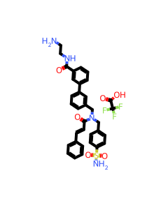 NCCNC(=O)c1cccc(-c2cccc(CN(Cc3ccc(S(N)(=O)=O)cc3)C(=O)C=Cc3ccccc3)c2)c1.O=C(O)C(F)(F)F